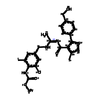 CCCOC(=O)Nc1c(C)cc(CN/C(N)=N\C(=O)c2c(-c3ccc(CO)cc3)nsc2C)cc1Cl